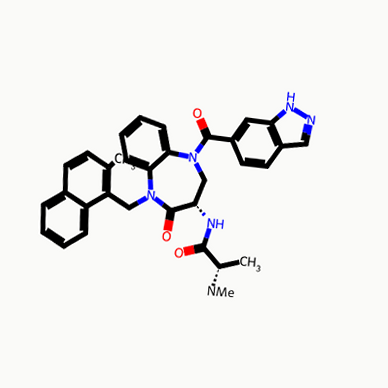 CN[C@@H](C)C(=O)N[C@H]1CN(C(=O)c2ccc3cn[nH]c3c2)c2ccccc2N(Cc2c(C)ccc3ccccc23)C1=O